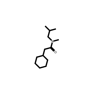 CC(C)CN(C)C(=O)CC1CCCCC1